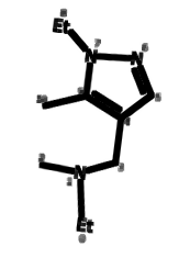 CCN(C)Cc1cnn(CC)c1C